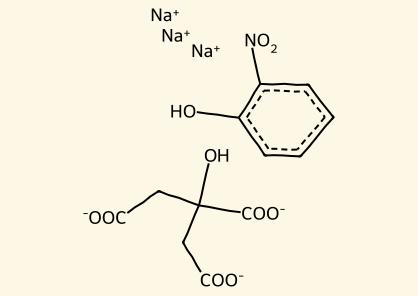 O=C([O-])CC(O)(CC(=O)[O-])C(=O)[O-].O=[N+]([O-])c1ccccc1O.[Na+].[Na+].[Na+]